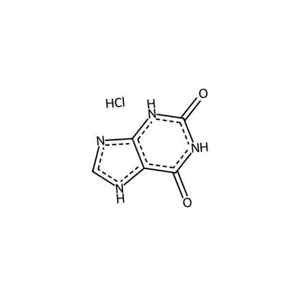 Cl.O=c1[nH]c(=O)c2[nH]cnc2[nH]1